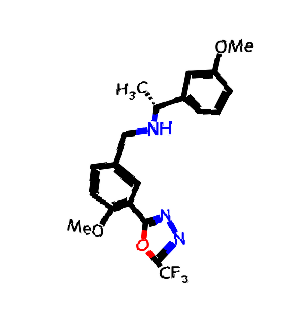 COc1cccc([C@@H](C)NCc2ccc(OC)c(-c3nnc(C(F)(F)F)o3)c2)c1